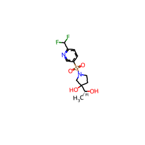 C[C@@H](O)C1(O)CCN(S(=O)(=O)c2ccc(C(F)F)nc2)C1